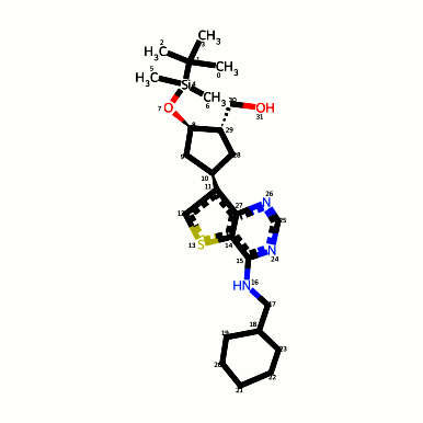 CC(C)(C)[Si](C)(C)O[C@@H]1C[C@H](c2csc3c(NCC4CCCCC4)ncnc23)C[C@H]1CO